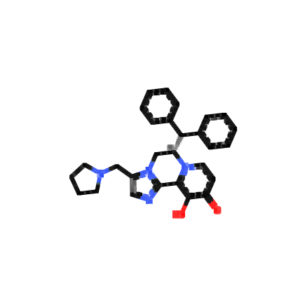 O=c1ccn2c(c1O)-c1ncc(CN3CCCC3)n1C[C@@H]2C(c1ccccc1)c1ccccc1